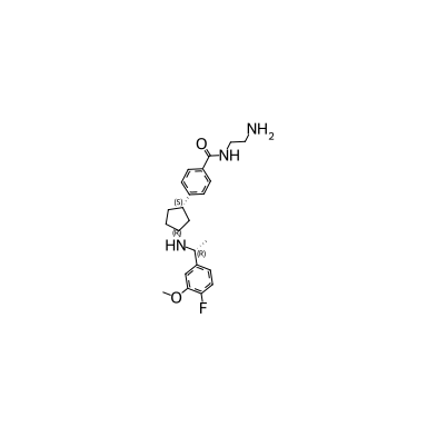 COc1cc([C@@H](C)N[C@@H]2CC[C@H](c3ccc(C(=O)NCCN)cc3)C2)ccc1F